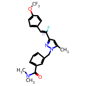 Cc1cc(/C(F)=C/c2ccc(OC(F)(F)F)cc2)nn1Cc1cccc(C(=O)N(C)C)c1